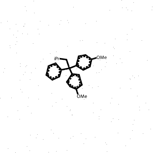 COc1ccc(C(CC(C)C)(c2ccccc2)c2ccc(OC)cc2)cc1